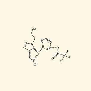 O=C(Oc1cc(-c2cc(Cl)cc3cnn(CCO)c23)ncn1)C(F)(F)F